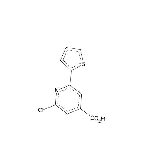 O=C(O)c1cc(Cl)nc(-c2cccs2)c1